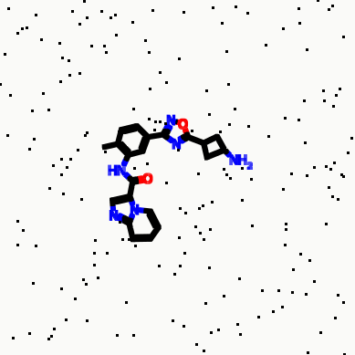 Cc1ccc(-c2noc(C3CC(N)C3)n2)cc1NC(=O)c1cnc2ccccn12